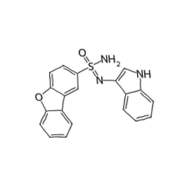 NS(=O)(=Nc1c[nH]c2ccccc12)c1ccc2oc3ccccc3c2c1